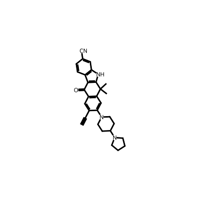 C#Cc1cc2c(cc1N1CCC(N3CCCC3)CC1)C(C)(C)c1[nH]c3cc(C#N)ccc3c1C2=O